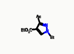 CCOC(=O)c1cn(CC)nc1C(C)=O